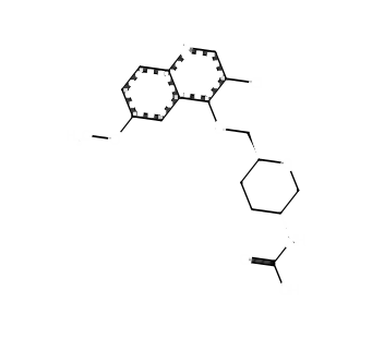 COc1ccc2ncc(Cl)c(OC[C@@H]3CC[C@@H](NC(=O)O)CO3)c2c1